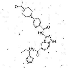 CCC(NC(=O)c1ccc2[nH]nc(NC(=O)c3ccc(N4CCN(C(C)=O)CC4)cc3)c2c1)c1ccsc1